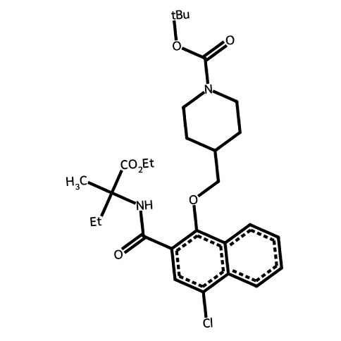 CCOC(=O)C(C)(CC)NC(=O)c1cc(Cl)c2ccccc2c1OCC1CCN(C(=O)OC(C)(C)C)CC1